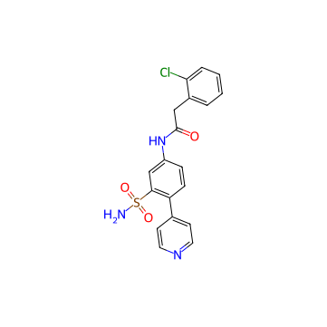 NS(=O)(=O)c1cc(NC(=O)Cc2ccccc2Cl)ccc1-c1ccncc1